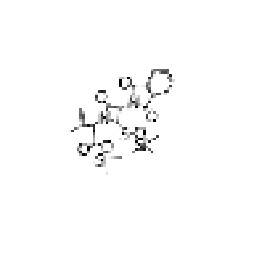 C=C(C)C(C(=O)O[Si](C)(C)C)N1C(=O)C(N2C(=O)c3ccccc3C2=O)C1SO[Si](C)(C)C